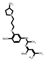 CN/C(C=C(C)C)=N/C(C)Nc1ccc(OC)c(OCCCN2CCC(C)C2)c1